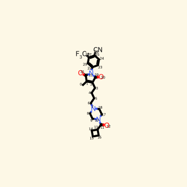 CC1=C(CCCCN2CCN(C(=O)C3CCC3)CC2)C(=O)N(c2ccc(C#N)c(C(F)(F)F)c2)C1=O